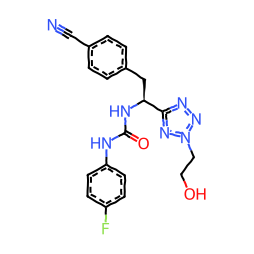 N#Cc1ccc(C[C@H](NC(=O)Nc2ccc(F)cc2)c2nnn(CCO)n2)cc1